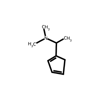 CC(C1=CC=CC1)N(C)C